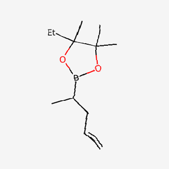 C=CCC(C)B1OC(C)(C)C(C)(CC)O1